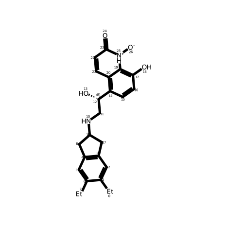 CCc1cc2c(cc1CC)CC(NC[C@H](O)c1ccc(O)c3c1C=CC(=O)[NH+]3[O-])C2